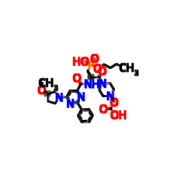 CCCCOP(=O)(O)C[C@H](NC(=O)c1cc(N2CC[C@H](OC)C2)nc(-c2ccccc2)n1)C(=O)N1CCN(OC(=O)O)CC1